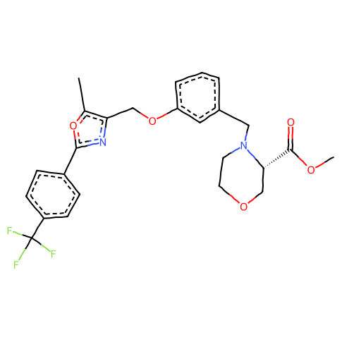 COC(=O)[C@@H]1COCCN1Cc1cccc(OCc2nc(-c3ccc(C(F)(F)F)cc3)oc2C)c1